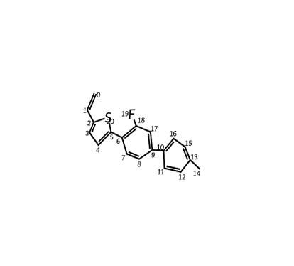 C=Cc1ccc(-c2ccc(-c3ccc(C)cc3)cc2F)s1